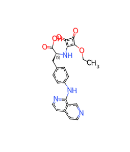 CCOc1c(N[C@@H](Cc2ccc(Nc3nccc4ccncc34)cc2)C(=O)O)c(=O)c1=O